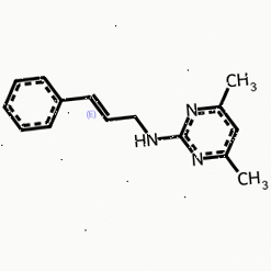 Cc1cc(C)nc(NC/C=C/c2ccccc2)n1